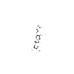 CN(C)[C@@H]1CN(S(=O)(=O)N2C[C@H](CCCB(O)O)[C@@H](N)C2)C[C@@H]1N